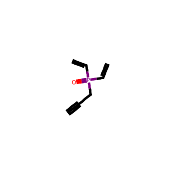 C#CCP(=O)(C=C)C=C